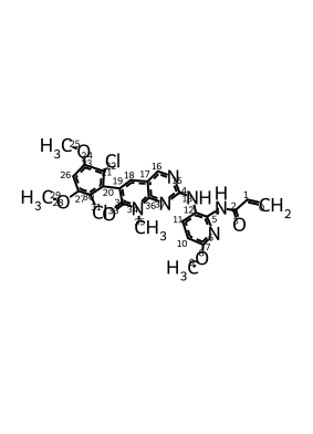 C=CC(=O)Nc1nc(OC)ccc1Nc1ncc2cc(-c3c(Cl)c(OC)cc(OC)c3Cl)c(=O)n(C)c2n1